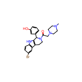 CN1CCN(CC(=O)N2CCc3c([nH]c4ccc(Br)cc34)C2c2cccc(O)c2)CC1